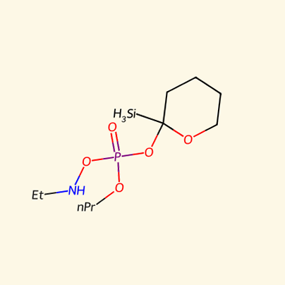 CCCOP(=O)(ONCC)OC1([SiH3])CCCCO1